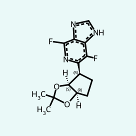 CC1(C)O[C@H]2[C@@H](c3nc(F)c4nc[nH]c4c3F)CC[C@H]2O1